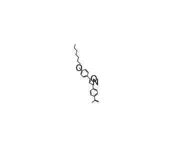 C=C(C)c1ccc(-c2cc(-c3ccc(OCCCCCCC)cc3)on2)cc1